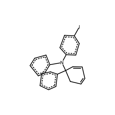 Ic1ccc(N(c2ccccc2)C2(c3ccccc3)C=CC=CC2)cc1